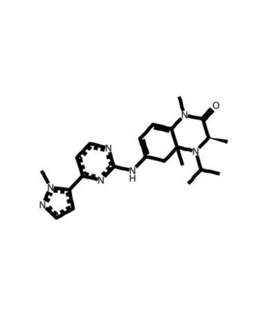 CC(C)N1[C@H](C)C(=O)N(C)C2=CC=C(Nc3nccc(-c4ccnn4C)n3)CC21C